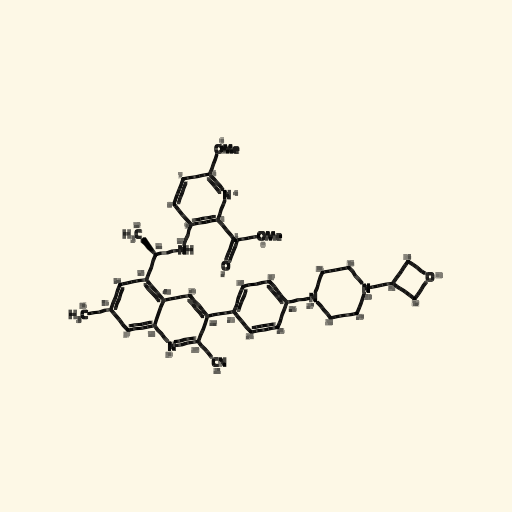 COC(=O)c1nc(OC)ccc1N[C@H](C)c1cc(C)cc2nc(C#N)c(-c3ccc(N4CCN(C5COC5)CC4)cc3)cc12